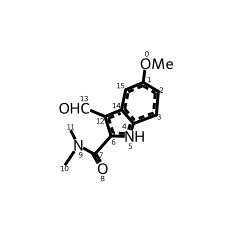 COc1ccc2[nH]c(C(=O)N(C)C)c(C=O)c2c1